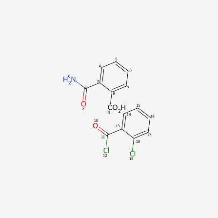 NC(=O)c1ccccc1C(=O)O.O=C(Cl)c1ccccc1Cl